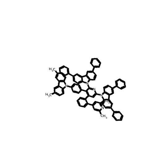 Cc1ccc2c(c1)c1cc(C)ccc1n2-c1ccc(-c2c(-c3ccccc3-c3cc(C)nc(C)c3)cc(-n3c4ccc(-c5ccccc5)cc4c4cc(-c5ccccc5)ccc43)nc2-n2c3ccc(-c4ccccc4)cc3c3cc(-c4ccccc4)ccc32)cc1